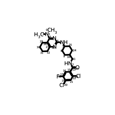 CN(C)c1nc(NC2CCC(CNC(=O)c3cc(F)c(Cl)cc3Cl)CC2)nc2c1CCCC2